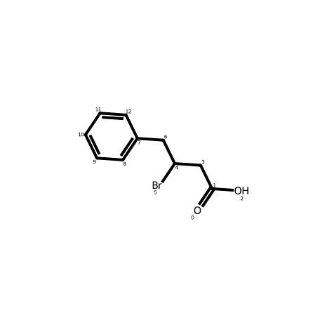 O=C(O)CC(Br)Cc1ccccc1